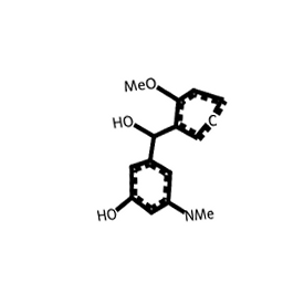 CNc1cc(O)cc(C(O)c2ccccc2OC)c1